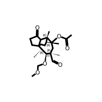 COCO[C@H]1[C@H](C)C23CCC(=O)C2[C@](C)(C(OC(C)=O)C[C@@]1(C)C=O)[C@H](C)CC3